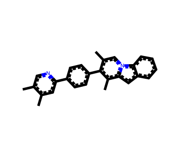 Cc1cnc(-c2ccc(-c3c(C)cn4c(cc5ccccc54)c3C)cc2)cc1C